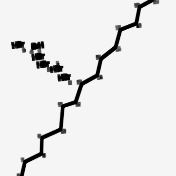 Br.Br.Br.Br.Br.Br.CCCCCCCCCCCCCCC